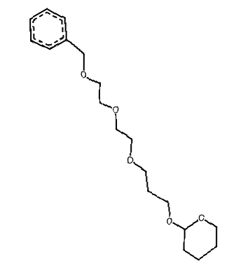 c1ccc(COCCOCCOCCCOC2CCCCO2)cc1